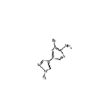 CCn1cc(-c2cnc(N)c(Br)c2)cn1